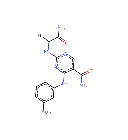 CCC(Nc1ncc(C(N)=O)c(Nc2cccc(OC)c2)n1)C(N)=O